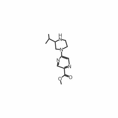 COC(=O)c1cnc(N2CCNC(C(C)C)C2)cn1